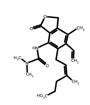 C=Cc1c(C)c2c(c(NC(=O)N(C)C)c1CC=C(C)CCC(=O)O)C(=O)OC2